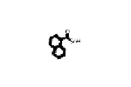 O=[C]([SnH])c1cccc2ccccc12